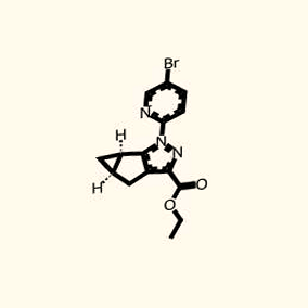 CCOC(=O)c1nn(-c2ccc(Br)cn2)c2c1C[C@H]1C[C@@H]21